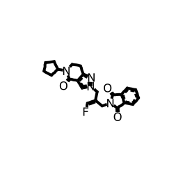 O=C1c2ccccc2C(=O)N1C/C(=C\F)Cn1cc2c(n1)CCN(C1CCCC1)C2=O